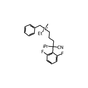 CC[N+](C)(CCCC(C#N)(c1c(F)cccc1F)C(C)C)Cc1ccccc1